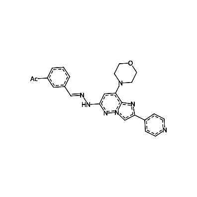 CC(=O)c1cccc(C=NNc2cc(N3CCOCC3)c3nc(-c4ccncc4)cn3n2)c1